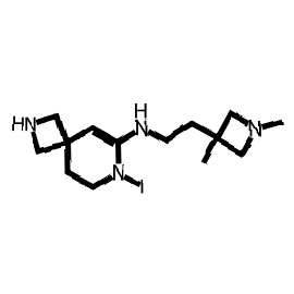 CN1CC(C)(CCNC2=CC3(CCN2I)CNC3)C1